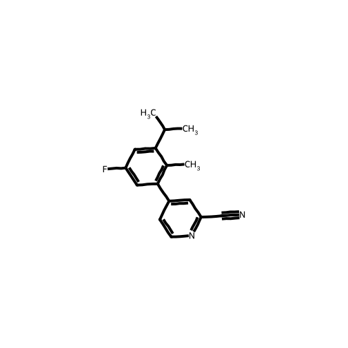 Cc1c(-c2ccnc(C#N)c2)cc(F)cc1C(C)C